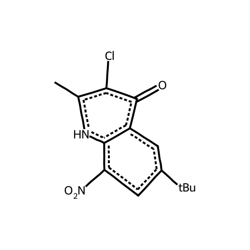 Cc1[nH]c2c([N+](=O)[O-])cc(C(C)(C)C)cc2c(=O)c1Cl